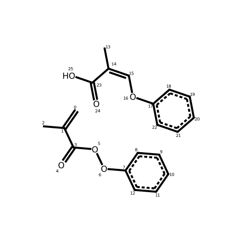 C=C(C)C(=O)OOc1ccccc1.CC(=COc1ccccc1)C(=O)O